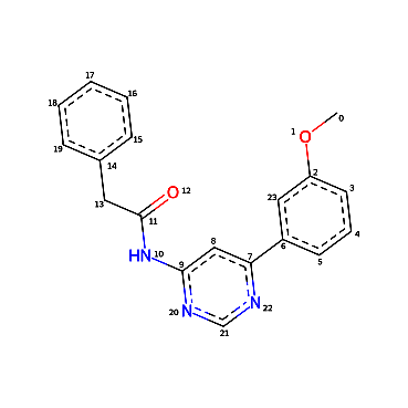 COc1cccc(-c2cc(NC(=O)Cc3ccccc3)ncn2)c1